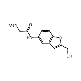 CNCC(=O)Nc1ccc2oc(CO)cc2c1